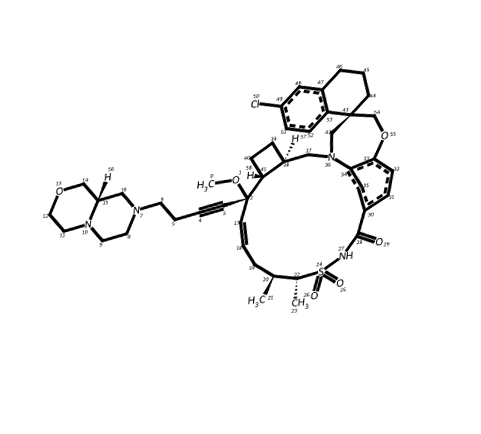 CO[C@@]1(C#CCCN2CCN3CCOC[C@@H]3C2)C=CC[C@H](C)[C@@H](C)S(=O)(=O)NC(=O)c2ccc3c(c2)N(C[C@@H]2CC[C@H]21)C[C@@]1(CCCc2cc(Cl)ccc21)CO3